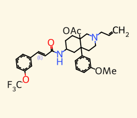 C=CCN1CCC2(c3cccc(OC)c3)CC(NC(=O)/C=C/c3cccc(OC(F)(F)F)c3)CCC2(OC(C)=O)C1